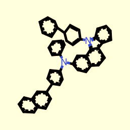 c1cccc(N(c2ccc(-c3ccc4ccccc4c3)cc2)c2ccc3ccc4c5ccccc5n(C5=CCC(c6ccccc6)C=C5)c4c3c2)c#1